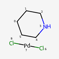 C1CCNCC1.[Cl][Pd][Cl]